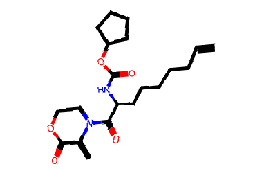 C=CCCCCC[C@H](NC(=O)OC1CCCC1)C(=O)N1CCOC(=O)C1=C